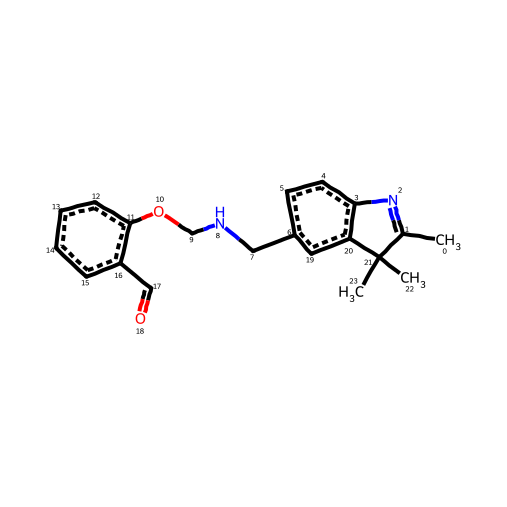 CC1=Nc2ccc(CNCOc3ccccc3C=O)cc2C1(C)C